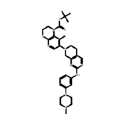 Cc1c(N2CCc3cnc(Nc4cccc(N5CCN(C)CC5)c4)nc3C2)cnc2c1N(C(=O)OC(C)(C)C)CCO2